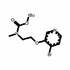 CN(CCOc1cnccc1Br)C(=O)OC(C)(C)C